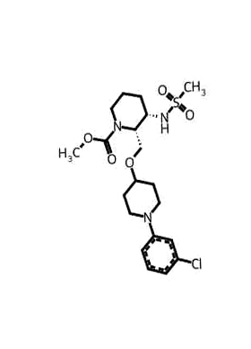 COC(=O)N1CCC[C@H](NS(C)(=O)=O)[C@@H]1COC1CCN(c2cccc(Cl)c2)CC1